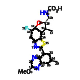 COc1cnc2c(-c3nc4cc(F)c5c(c4s3)[C@H](C)[C@@H](CNC(=O)O)O5)cc(C)cc2n1